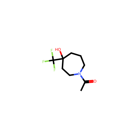 CC(=O)N1CCCC(O)(C(F)(F)F)CC1